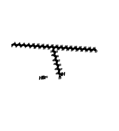 Br.CCCCCCCCCCCCCCCCCCC(CCCCCCCCCCCCCCCCCC)CCCCCCCCCCCNC